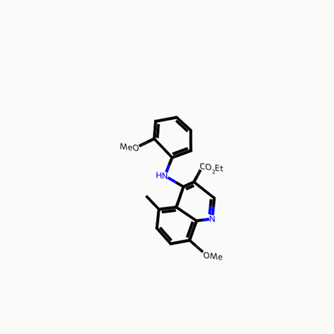 CCOC(=O)c1cnc2c(OC)ccc(C)c2c1Nc1ccccc1OC